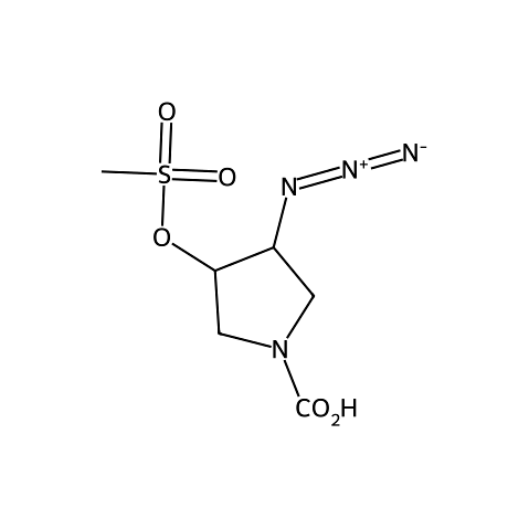 CS(=O)(=O)OC1CN(C(=O)O)CC1N=[N+]=[N-]